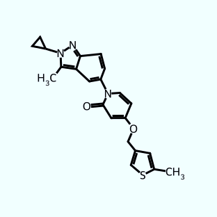 Cc1cc(COc2ccn(-c3ccc4nn(C5CC5)c(C)c4c3)c(=O)c2)cs1